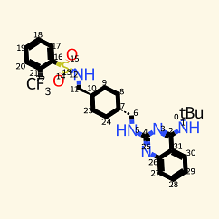 CC(C)(C)Nc1nc(NC[C@H]2CC[C@H](CNS(=O)(=O)c3ccccc3C(F)(F)F)CC2)nc2ccccc12